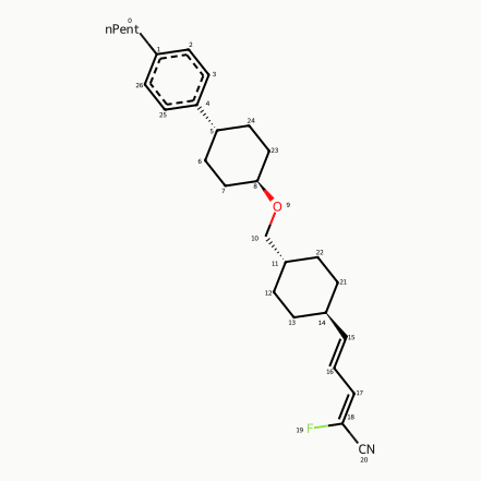 CCCCCc1ccc([C@H]2CC[C@H](OC[C@H]3CC[C@H](C=CC=C(F)C#N)CC3)CC2)cc1